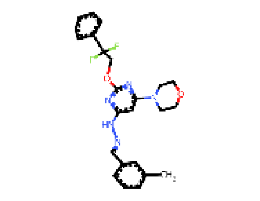 Cc1cccc(C=NNc2cc(N3CCOCC3)nc(OCC(F)(F)c3ccccc3)n2)c1